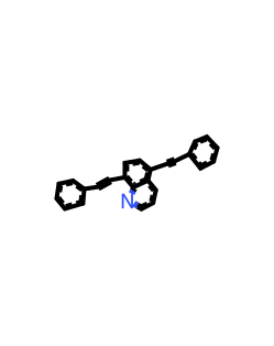 C(#Cc1ccc(C#Cc2ccccc2)c2ncccc12)c1ccccc1